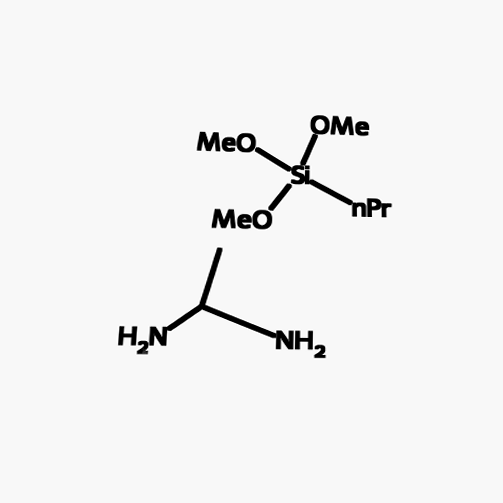 CC(N)N.CCC[Si](OC)(OC)OC